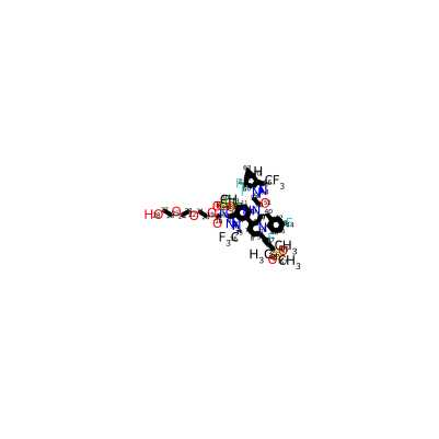 CC(C)(C#Cc1ccc(-c2ccc(Cl)c3c(N(C(=O)OCCOCCOCCO)S(C)(=O)=O)nn(CC(F)(F)F)c23)c([C@H](Cc2cc(F)cc(F)c2)NC(=O)Cn2nc(C(F)(F)F)c3c2C(F)(F)C2C[C@H]32)n1)S(C)(=O)=O